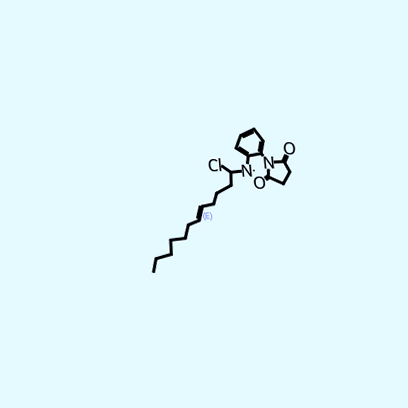 CCCCCC/C=C/CCCC(Cl)[N]c1ccccc1N1C(=O)CCC1=O